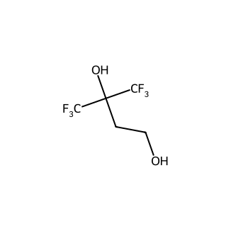 OCCC(O)(C(F)(F)F)C(F)(F)F